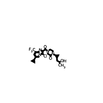 CC(O)CC1CC1N1CCN(C(=O)c2nc3c(C(F)(F)F)cc(C4CC4)cn3c2Cl)CC1=O